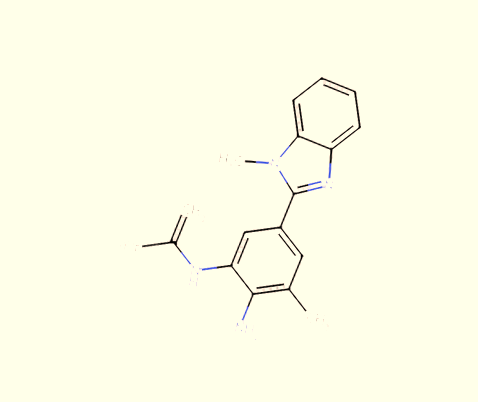 C=C(CCC)Nc1cc(-c2nc3ccccc3n2C)cc(C)c1N